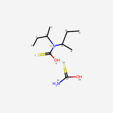 CCC(C)N(C(O)=S)C(C)CC.NC(O)=S